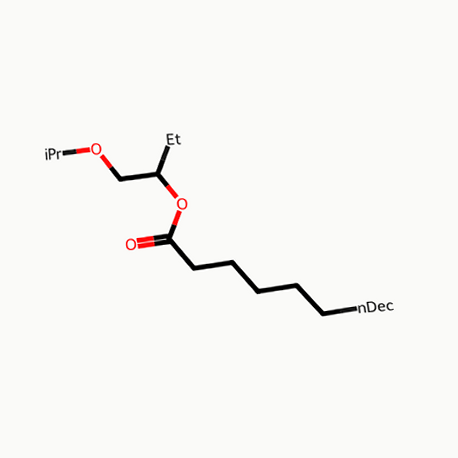 CCCCCCCCCCCCCCCC(=O)OC(CC)COC(C)C